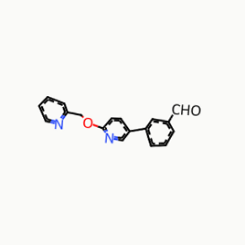 O=Cc1cccc(-c2ccc(OCc3ccccn3)nc2)c1